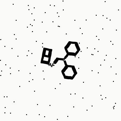 C=CP(c1ccccc1)c1ccccc1.c1cc2ccc1-2